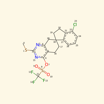 CSc1nc2c(c(OS(=O)(=O)C(F)(F)F)n1)CCC1(CCc3c(Cl)cccc31)C2